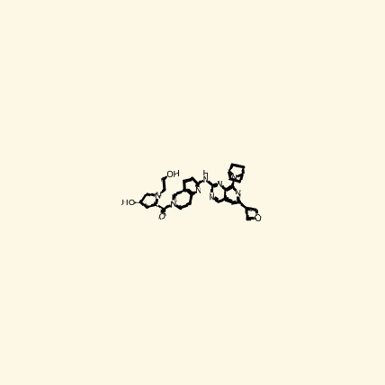 O=C([C@H]1C[C@H](O)CN1CCO)N1CCc2nc(Nc3ncc4cc(C5COC5)nc(N5C6CCC5CC6)c4n3)ccc2C1